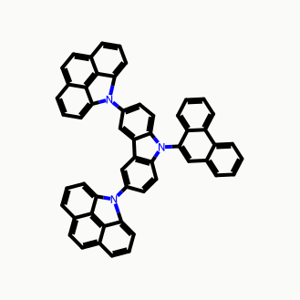 c1ccc2c(c1)cc(-n1c3ccc(-n4c5cccc6ccc7cccc4c7c65)cc3c3cc(-n4c5cccc6ccc7cccc4c7c65)ccc31)c1ccccc12